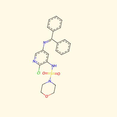 O=S(=O)(Nc1cc(N=C(c2ccccc2)c2ccccc2)cnc1Cl)N1CCOCC1